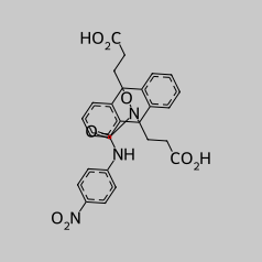 O=C(O)CCC12ON(C(=O)Nc3ccc([N+](=O)[O-])cc3)C(CCC(=O)O)(c3ccccc31)c1ccccc12